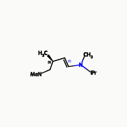 CNC[C@@H](C)/C=C/N(C)C(C)C